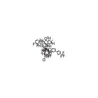 [2H]c1c(C)c([2H])c2c(=O)c([2H])c(SC([2H])([2H])c3cccc(F)c3F)n(C([2H])([2H])C(=O)N(Cc3ccc(-c4ccc(C(F)(F)F)cc4)cc3)C3([2H])C([2H])([2H])C([2H])([2H])N(CCOC)C([2H])([2H])C3([2H])[2H])c2c1[2H]